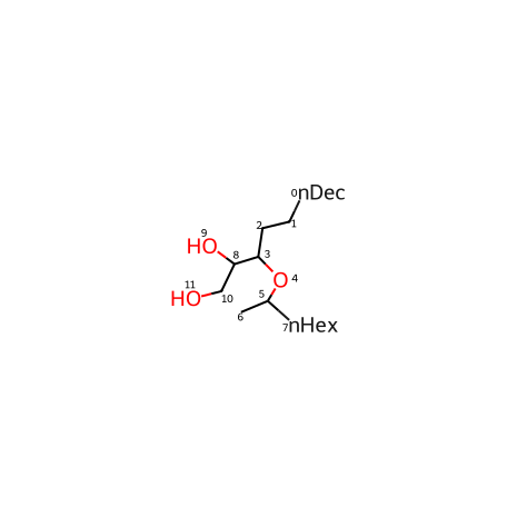 CCCCCCCCCCCCC(OC(C)CCCCCC)C(O)CO